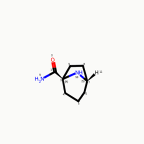 NC(=O)[C@@]12C[CH]C[C@@H](CC1)N2